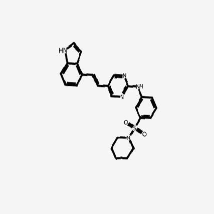 O=S(=O)(c1cccc(Nc2ncc(/C=C/c3cccc4[nH]ccc34)cn2)c1)N1CCCCC1